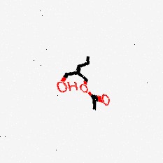 CCCC(CO)COC(C)=O